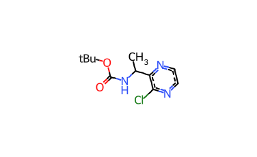 CC(NC(=O)OC(C)(C)C)c1nccnc1Cl